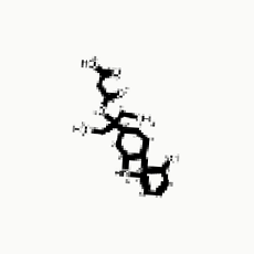 CCC(CC)(OC(=O)CC(=O)O)C1CCc2c([nH]c3cccc(Cl)c23)C1